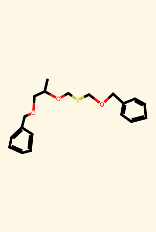 CC(COCc1ccccc1)OCSCOCc1ccccc1